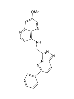 COc1cnc2c(NCc3nnc4ccc(-c5ccccc5)nn34)ccnc2c1